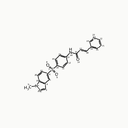 Cn1ncc2cc(S(=O)(=O)c3ccc(NC(=O)C=Cc4cccnc4)cc3)ccc21